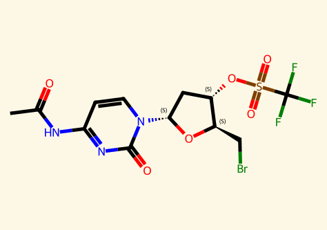 CC(=O)Nc1ccn([C@@H]2C[C@H](OS(=O)(=O)C(F)(F)F)[C@@H](CBr)O2)c(=O)n1